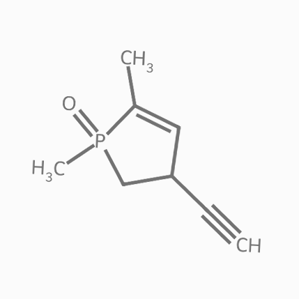 C#CC1C=C(C)P(C)(=O)C1